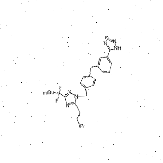 CCCCC(F)(F)c1nc(CCC(C)C)n(Cc2ccc(Cc3cccc(-c4nnn[nH]4)c3)cc2)n1